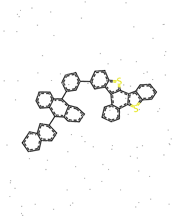 c1cc(-c2ccc3sc4c(c3c2)c2ccccc2c2sc3ccccc3c24)cc(-c2c3ccccc3c(-c3ccc4ccccc4c3)c3ccccc23)c1